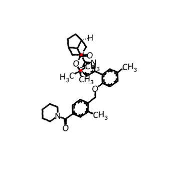 Cc1ccc(OCc2ccc(C(=O)N3CCCCC3)cc2C)c(-c2csc(N3CC4CC[C@@H](C3)C4C(=O)OC(C)(C)C)n2)c1